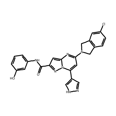 O=C(Nc1cccc(O)c1)c1cc2nc(N3Cc4ccc(Cl)cc4C3)cc(-c3cn[nH]c3)n2n1